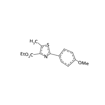 CCOC(=O)c1nc(-c2ccc(OC)cc2)sc1C